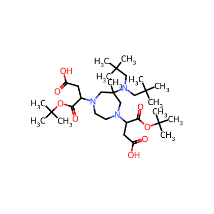 CC(C)(C)CN(CC(C)(C)C)C1(C)CN(C(CC(=O)O)C(=O)OC(C)(C)C)CCN(C(CC(=O)O)C(=O)OC(C)(C)C)C1